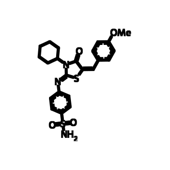 COc1ccc(C=C2S/C(=N\c3ccc(S(N)(=O)=O)cc3)N(C3CCCCC3)C2=O)cc1